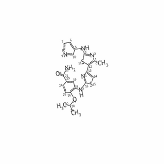 Cc1nc(Nc2cccnc2)sc1-c1csc(Nc2cc(C(N)=O)ccc2OC(C)C)n1